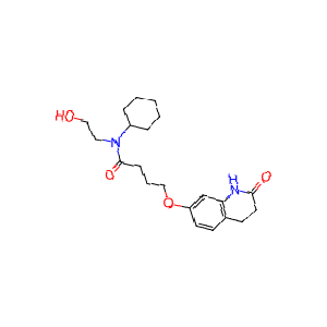 O=C1CCc2ccc(OCCCC(=O)N(CCO)C3CCCCC3)cc2N1